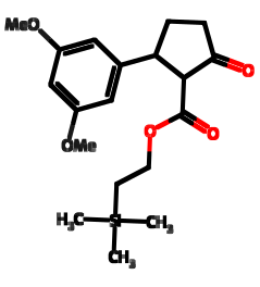 COc1cc(OC)cc(C2CCC(=O)C2C(=O)OCC[Si](C)(C)C)c1